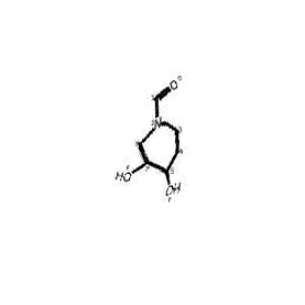 O=CN1CCC(O)C(O)C1